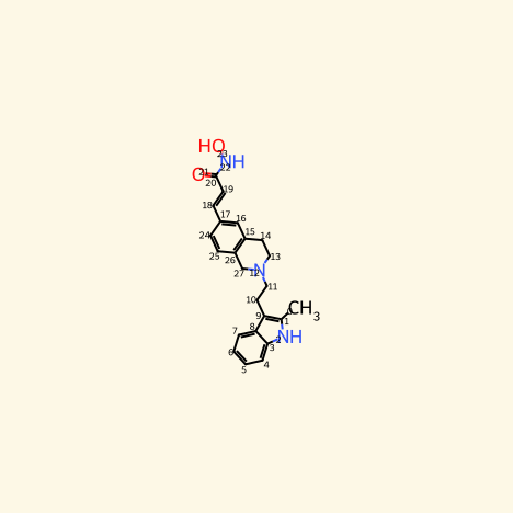 Cc1[nH]c2ccccc2c1CCN1CCc2cc(C=CC(=O)NO)ccc2C1